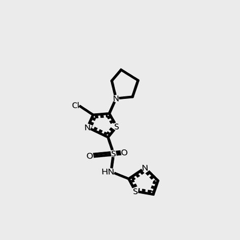 O=S(=O)(Nc1nccs1)c1nc(Cl)c(N2CCCC2)s1